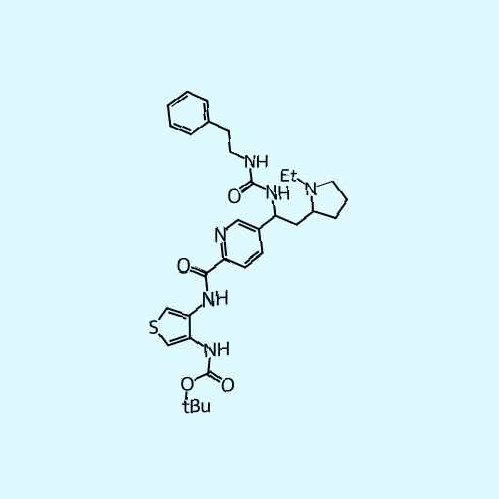 CCN1CCCC1CC(NC(=O)NCCc1ccccc1)c1ccc(C(=O)Nc2cscc2NC(=O)OC(C)(C)C)nc1